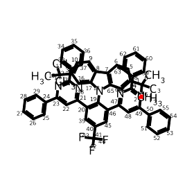 CC(C)(C)c1ccc2c3ccc(C(C)(C)C)cc3n(-c3c(-c4cc(-c5ccccc5)nc(-c5ccccc5)n4)cc(C(F)(F)F)cc3-c3cc(-c4ccccc4)nc(-c4ccccc4)n3)c2c1